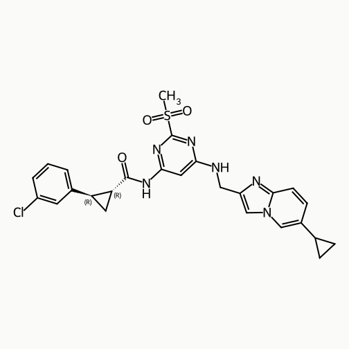 CS(=O)(=O)c1nc(NCc2cn3cc(C4CC4)ccc3n2)cc(NC(=O)[C@@H]2C[C@H]2c2cccc(Cl)c2)n1